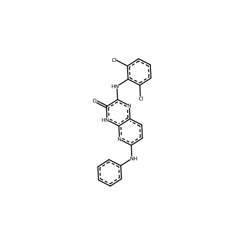 O=c1[nH]c2nc(Nc3ccccc3)ccc2nc1Nc1c(Cl)cccc1Cl